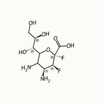 NC1C([C@H](O)[C@H](O)CO)O[C@@](F)(C(=O)O)[C@@H](F)[C@H]1N